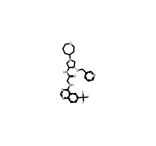 O=C(CNc1ncnc2ccc(C(F)(F)F)cc12)NC1CN(C2CCCOCC2)C[C@@H]1OCc1cccnc1